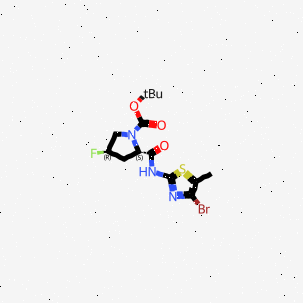 Cc1sc(NC(=O)[C@@H]2C[C@@H](F)CN2C(=O)OC(C)(C)C)nc1Br